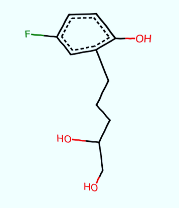 OCC(O)CCCc1cc(F)ccc1O